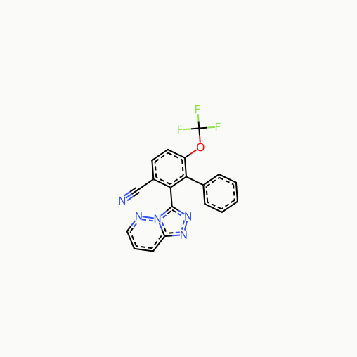 N#Cc1ccc(OC(F)(F)F)c(-c2ccccc2)c1-c1nnc2cccnn12